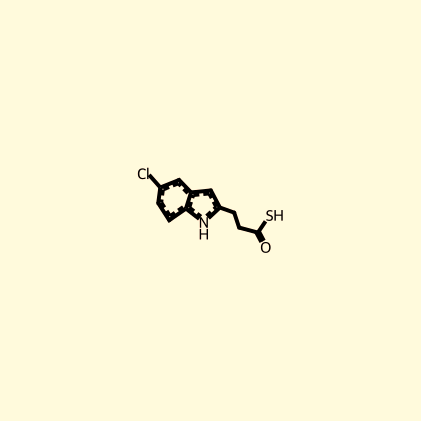 O=C(S)CCc1cc2cc(Cl)ccc2[nH]1